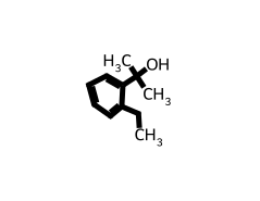 CCc1ccccc1C(C)(C)O